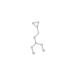 CCOP(OCC)OCC1CO1